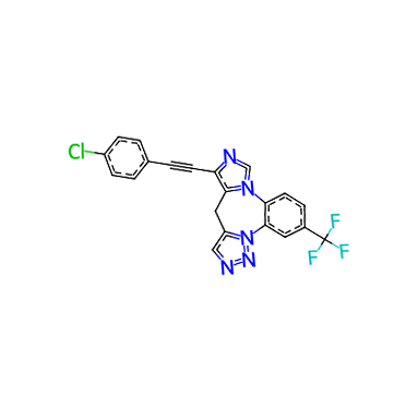 FC(F)(F)c1ccc2c(c1)-n1nncc1Cc1c(C#Cc3ccc(Cl)cc3)ncn1-2